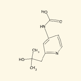 CC(C)(O)Cc1cc(NC(=O)O)ccn1